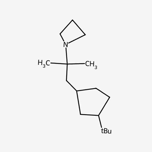 CC(C)(C)C1CCC(CC(C)(C)N2CCC2)C1